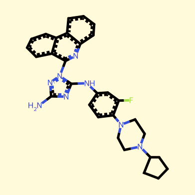 Nc1nc(Nc2ccc(N3CCN(C4CCCC4)CC3)c(F)c2)n(-c2nc3ccccc3c3ccccc23)n1